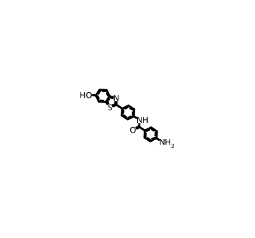 Nc1ccc(C(=O)Nc2ccc(-c3nc4ccc(O)cc4s3)cc2)cc1